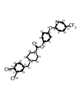 O=C(Oc1ccc(Oc2ccc(C(F)(F)F)cn2)cc1)N1CCN(Cc2ccc(Cl)c(Cl)c2)CC1